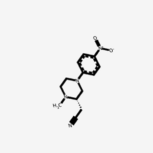 CN1CCN(c2ccc([N+](=O)[O-])cc2)C[C@@H]1CC#N